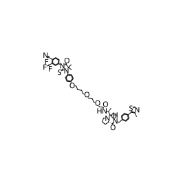 Cc1ncsc1-c1ccc(CNC(=O)[C@@H]2CCCN2C(=O)[C@H](C)NC(=O)COCCCOCCCCOc2ccc(N3C(=S)N(c4ccc(C#N)c(C(F)(F)F)c4)C(=O)C3(C)C)cc2)cc1